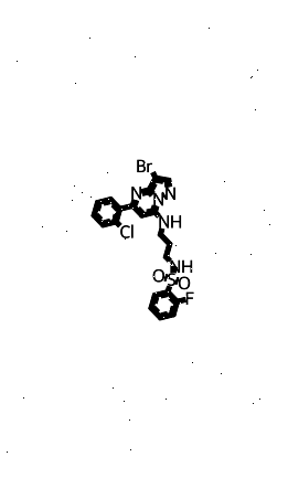 O=S(=O)(NCCCNc1cc(-c2ccccc2Cl)nc2c(Br)cnn12)c1ccccc1F